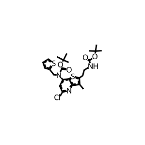 Cc1c(CCNC(=O)OC(C)(C)C)sc2c(N(Cc3cccs3)C(=O)OC(C)(C)C)cc(Cl)nc12